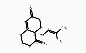 CC(C)=CC[C@@]12CCC(=O)C=C1CCCC2=O